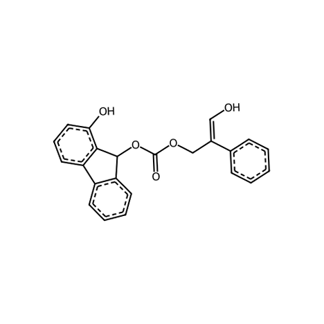 O=C(OCC(=CO)c1ccccc1)OC1c2ccccc2-c2cccc(O)c21